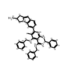 Cc1c(-c2ccc3cc4n(c3c2)CC(N)C4)nc(OCc2ccccc2)c(C(=O)OCc2ccccc2)c1OCc1ccccc1